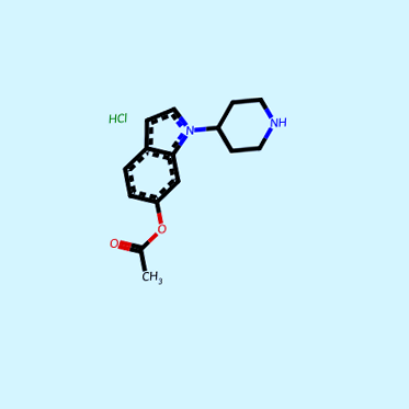 CC(=O)Oc1ccc2ccn(C3CCNCC3)c2c1.Cl